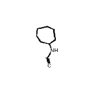 O=[C]NC1CCCCCC1